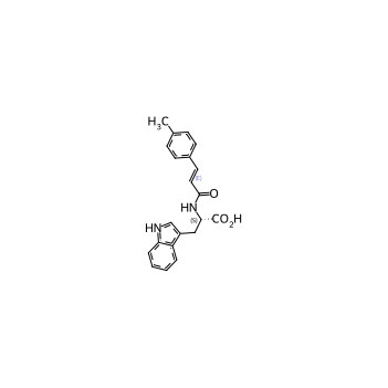 Cc1ccc(/C=C/C(=O)N[C@@H](Cc2c[nH]c3ccccc23)C(=O)O)cc1